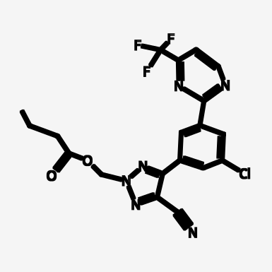 CCCC(=O)OCn1nc(C#N)c(-c2cc(Cl)cc(-c3nccc(C(F)(F)F)n3)c2)n1